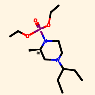 CCOP(=O)(OCC)N1CCN(C(CC)CC)C[C@H]1C